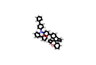 c1ccc(-c2ccc(N(c3ccc(-c4ccc5c(c4)C4(c6ccccc6Oc6ccccc64)c4ccccc4-5)cc3)c3ccccc3-c3ccccc3)cc2)cc1